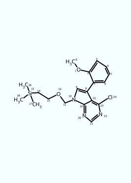 COc1ccccc1-c1cn(COCC[Si](C)(C)C)c2ncnc(Cl)c12